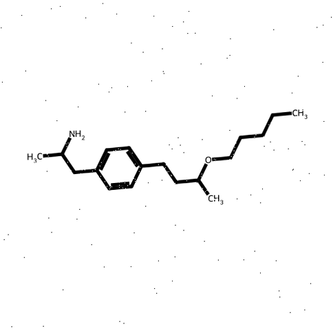 CCCCCOC(C)CCc1ccc(CC(C)N)cc1